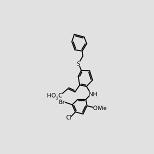 COc1cc(Cl)c(Br)cc1Nc1ccc(SCc2ccccc2)cc1/C=C/C(=O)O